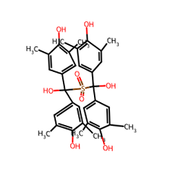 Cc1cc(C(O)(c2cc(C)c(O)c(C)c2)S(=O)(=O)C(O)(c2cc(C)c(O)c(C)c2)c2cc(C)c(O)c(C)c2)cc(C)c1O